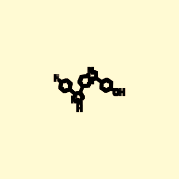 Oc1ccc(-c2cnc3ccc(-c4c[nH]nc4-c4ccc(F)cc4)cn23)cc1